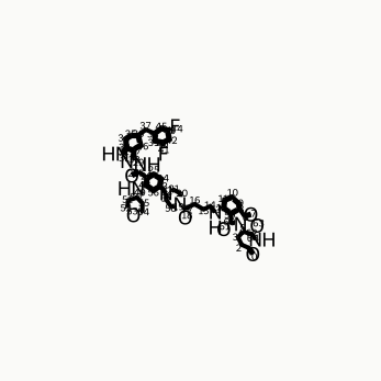 O=C1CCC(N2C(=O)c3cccc(NCCCC(=O)N4CCN(c5ccc(C(=O)Nc6n[nH]c7ccc(Cc8cc(F)cc(F)c8)cc67)c(NC6CCOCC6)c5)CC4)c3C2=O)C(=O)N1